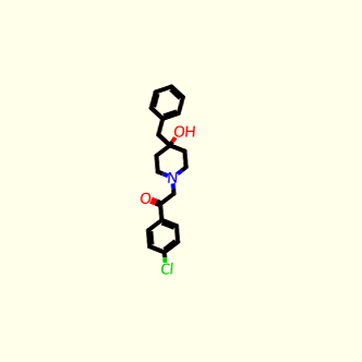 O=C(CN1CCC(O)(Cc2ccccc2)CC1)c1ccc(Cl)cc1